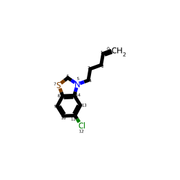 C=CCCCN1CSc2ccc(Cl)cc21